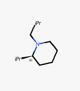 CC(C)CN1CCCC[C@H]1C(C)C